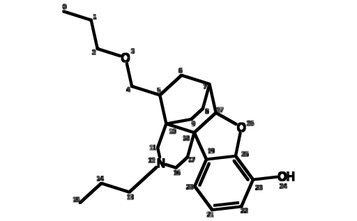 CCCOCC1CC2CCC13CN(CCC)CCC31c3cccc(O)c3OC21